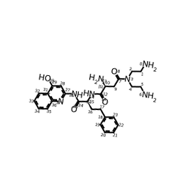 NCCN(CCN)C(=O)C[C@H](N)C(=O)N[C@@H](CCc1ccccc1)C(=O)Nc1cc(O)c2ccccc2n1